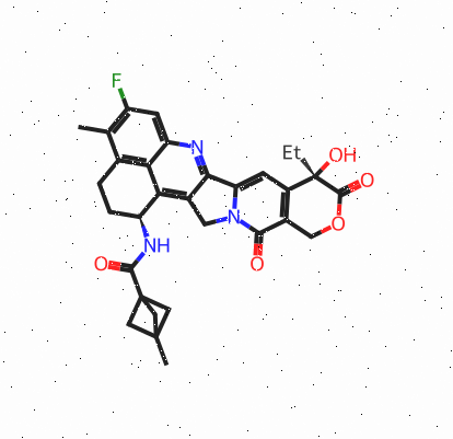 CC[C@@]1(O)C(=O)OCc2c1cc1n(c2=O)Cc2c-1nc1cc(F)c(C)c3c1c2[C@@H](NC(=O)C12CC(C)(C1)C2)CC3